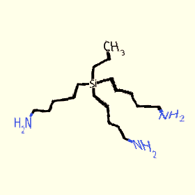 CCC[Si](CCCCCN)(CCCCCN)CCCCCN